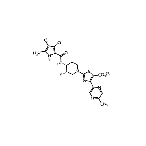 CCOC(=O)c1sc(N2CC[C@@H](NC(=O)c3[nH]c(C)c(Cl)c3Cl)[C@@H](F)C2)nc1-c1cnc(C)cn1